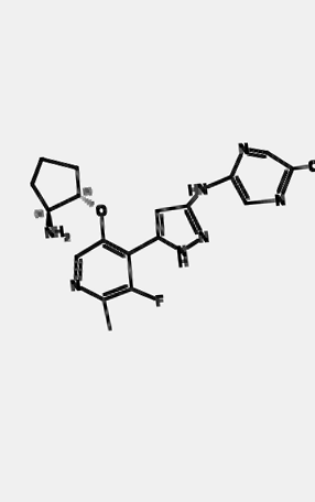 Cc1ncc(O[C@H]2CCC[C@@H]2N)c(-c2cc(Nc3cnc(C#N)cn3)n[nH]2)c1F